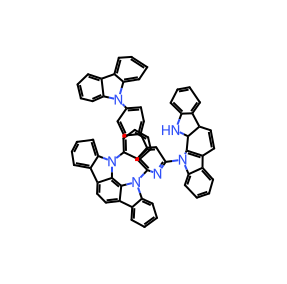 C1=CC2c3ccccc3NC2c2c1c1ccccc1n2-c1cc(-c2ccc(-n3c4ccccc4c4ccccc43)cc2)cc(-n2c3ccccc3c3ccc4c5ccccc5n(-c5ccccc5)c4c32)n1